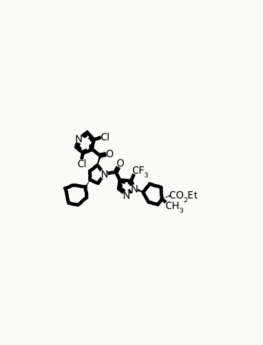 CCOC(=O)[C@]1(C)CC[C@@H](n2ncc(C(=O)N3C[C@H](C4CCCCC4)C[C@H]3C(=O)c3c(Cl)cncc3Cl)c2C(F)(F)F)CC1